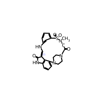 CN1CC(=O)N2CCN(CC2)c2cccc3c2/C(=C/Nc2cccc(c2)S1(=O)=O)C(=O)N3